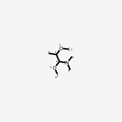 CC(OI)C(OI)N(C)C